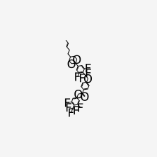 C/C=C/CCC1COC(c2cc(F)c(C(F)(F)Oc3ccc(C(=O)Oc4cc(F)c(C(F)(F)F)c(F)c4)cc3)c(F)c2)OC1